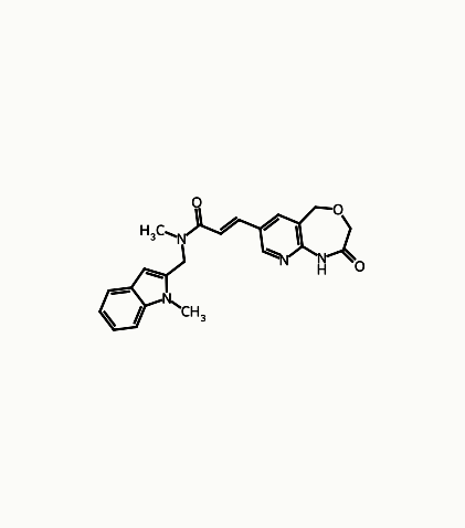 CN(Cc1cc2ccccc2n1C)C(=O)/C=C/c1cnc2c(c1)COCC(=O)N2